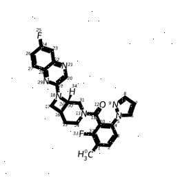 Cc1ccc(-n2cccn2)c(C(=O)N2CCC3CN(c4cnc5cc(F)ccc5n4)[C@@H]3C2)c1F